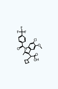 COc1cc2c(C(C(=O)O)C3CCC3)c(C)n(C(=O)c3ccc(C(F)(F)F)cc3)c2cc1Cl